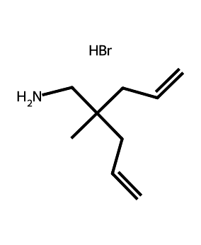 Br.C=CCC(C)(CN)CC=C